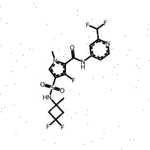 Cn1cc(S(=O)(=O)NC2(C)CC(F)(F)C2)c(F)c1C(=O)Nc1ccnc(C(F)F)c1